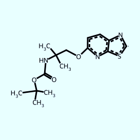 CC(C)(COc1ccc2n[c]sc2n1)NC(=O)OC(C)(C)C